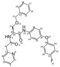 O=C(Cc1ccccn1)N[C@@H](COCc1ccccc1)C(=O)Nc1ccc(Oc2ccc(F)cc2)cc1